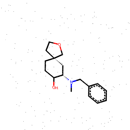 CN(Cc1ccccc1)[C@H]1C[C@@]2(CCOC2)CCC1O